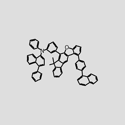 CC1(C)c2ccccc2-c2cc3c(oc4cccc(-c5ccc(-c6cccc7ccccc67)cc5)c43)c(-c3cccc(N(c4ccccc4)c4ccc(-c5ccccc5)c5ccccc45)c3)c21